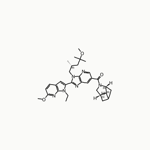 CCn1c(-c2nc3cc(C(=O)N4C[C@H]5CC6C[C@@H]4[C@H]65)cnc3n2C[C@H](C)CC(C)(C)OC)cc2ccc(OC)nc21